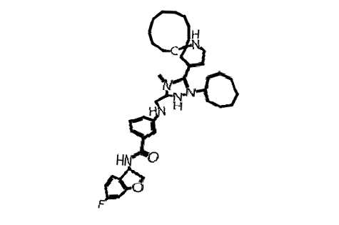 CN1C(CNc2cccc(C(=O)NC3COc4cc(F)ccc43)c2)NN(C2CCCCCCC2)C1C1CCNC2(CCCCCCCCCC2)C1